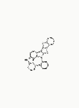 c1ccc2c(c1)sc1c2sc2c1c1ccc3[nH]c4cccc5c6ccccc6n2c1c3c45